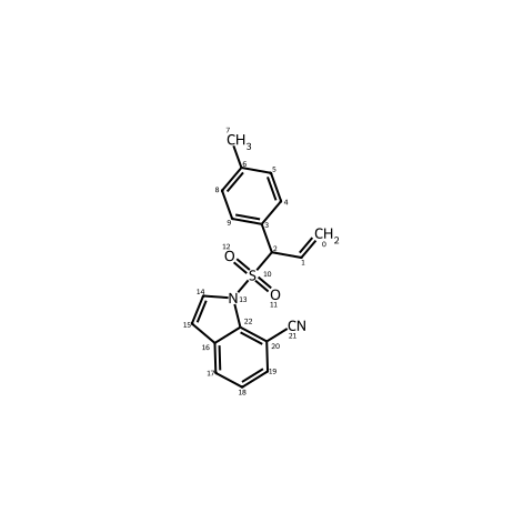 C=CC(c1ccc(C)cc1)S(=O)(=O)n1ccc2cccc(C#N)c21